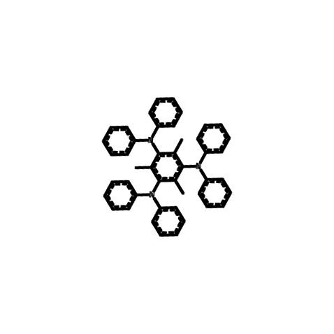 Cc1c(N(c2ccccc2)c2ccccc2)c(C)c(N(c2ccccc2)c2ccccc2)c(C)c1N(c1ccccc1)c1ccccc1